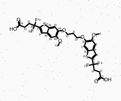 COc1cc2cc(C(F)(F)CCC(=O)O)sc2cc1OCCCOc1cc2sc(C(F)(F)CCC(=O)O)cc2cc1OC